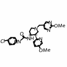 COc1ccc([C@@H]2CN(Cc3cnc(OC)nc3)CC[C@H]2NC(=O)Nc2ccc(Cl)cc2)nc1